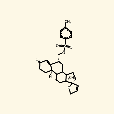 Cc1ccc(S(=O)(=O)OC[C@@H]2CC3C(CC[C@@]4(C)C3CC[C@@]43C=CCO3)[C@H]3CCC(=O)C=C23)cc1